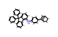 c1ccc(C2(c3ccccc3)c3ccccc3-c3c(Nc4ccc(C5CC6CCC5C6)cc4)cccc32)cc1